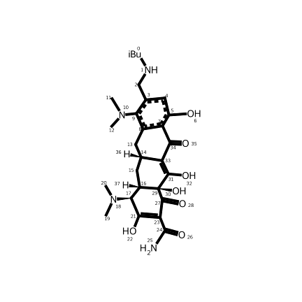 CCC(C)NCc1cc(O)c2c(c1N(C)C)C[C@H]1C[C@H]3[C@H](N(C)C)C(O)=C(C(N)=O)C(=O)[C@@]3(O)C(O)=C1C2=O